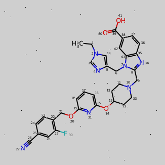 CCn1cnc(Cn2c(CN3CCC(Oc4cccc(OCc5ccc(C#N)cc5F)n4)CC3)nc3ccc(C(=O)O)cc32)c1